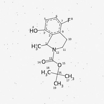 CC1c2c(O)ccc(F)c2CCN1C(=O)OC(C)(C)C